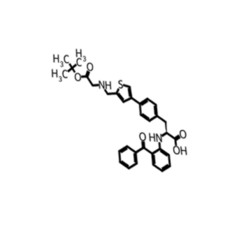 CC(C)(C)OC(=O)CNCc1cc(-c2ccc(C[C@H](Nc3ccccc3C(=O)c3ccccc3)C(=O)O)cc2)cs1